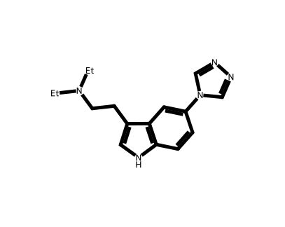 CCN(CC)CCc1c[nH]c2ccc(-n3cnnc3)cc12